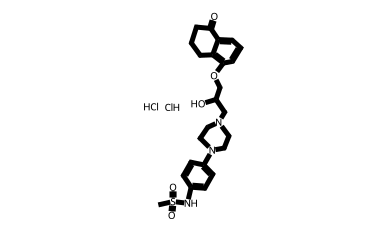 CS(=O)(=O)Nc1ccc(N2CCN(CC(O)COc3cccc4c3CCCC4=O)CC2)cc1.Cl.Cl